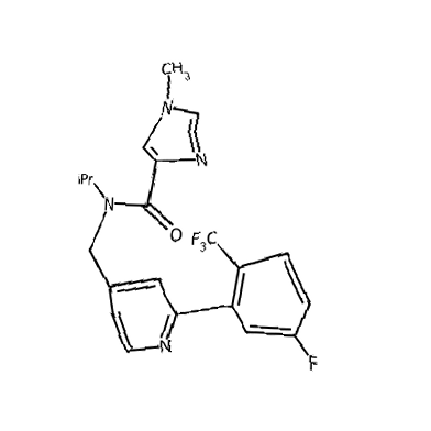 CC(C)N(Cc1ccnc(-c2cc(F)ccc2C(F)(F)F)c1)C(=O)c1cn(C)cn1